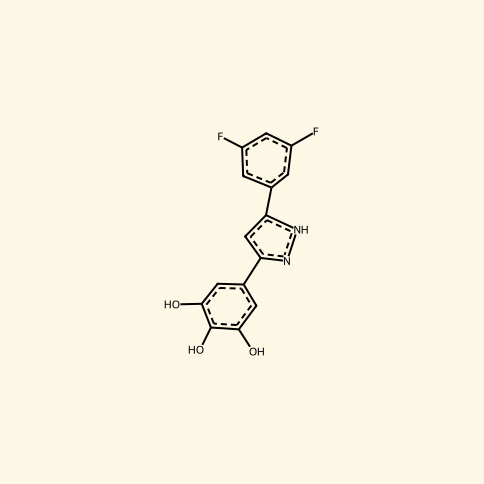 Oc1cc(-c2cc(-c3cc(F)cc(F)c3)[nH]n2)cc(O)c1O